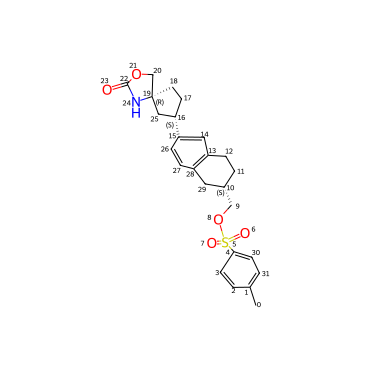 Cc1ccc(S(=O)(=O)OC[C@H]2CCc3cc([C@H]4CC[C@]5(COC(=O)N5)C4)ccc3C2)cc1